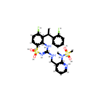 CC(c1ccccc1F)c1c(F)ccc2c1NC(NCc1cccnc1N(C)S(C)(=O)=O)=NS2(=O)=O